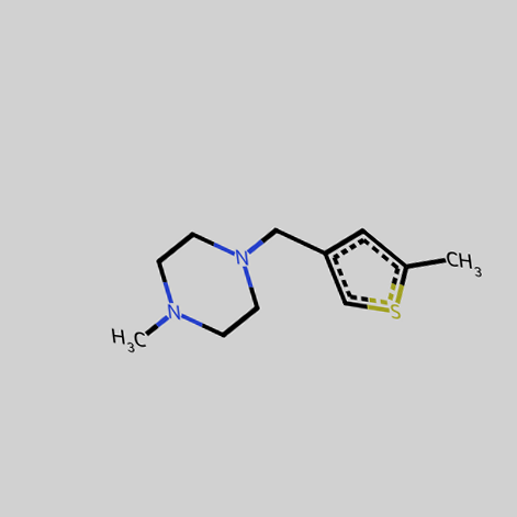 Cc1cc(CN2CCN(C)CC2)cs1